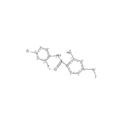 COc1ccc(C(=O)Nc2ccc(Cl)cc2F)c(O)c1